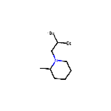 CCCCC(CC)CN1CCCCC1C